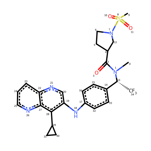 CN(C(=O)C1CCN(S(C)(=O)=O)C1)[C@@H](c1ccc(Nc2cnc3cccnc3c2C2CC2)cc1)C(F)(F)F